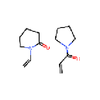 C=CC(=O)N1CCCC1.C=CN1CCCCC1=O